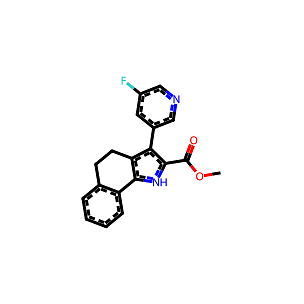 COC(=O)c1[nH]c2c(c1-c1cncc(F)c1)CCc1ccccc1-2